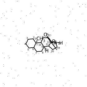 C[C@]12CCCCC1CC[C@@H]1C2CC[C@]23C(=O)OC[C@H]2CCC13